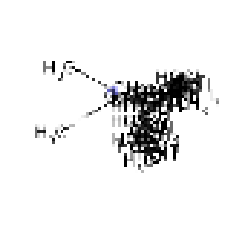 CCCCCCCCCCCCC/C=C/[C@@H](O)[C@H](CO[C@@H]1OC(CO)[C@@H](O[C@@H]2OC(CO[C@@H]3OC(CO)[C@@H](O[C@@H]4OC(CO)[C@H](O[C@@H]5OC(CO)[C@H](O)[C@H](O)C5NC(C)=O)[C@H](O)C4O)[C@H](O)C3NC(C)=O)[C@H](O)[C@H](O[C@H]3OC(CO)[C@H](O)[C@H](O[C@@H]4OC(CO)[C@H](O)[C@H](O[C@H]5OC(CO)[C@H](O)[C@H](O)C5NC(C)=O)C4NC(C)=O)C3O)C2O)[C@H](O)C1O)NC(=O)CCCCCCCCCCCCCCCCC